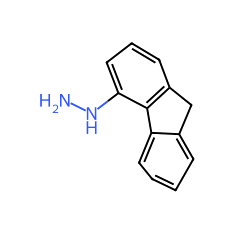 NNc1cccc2c1-c1ccccc1C2